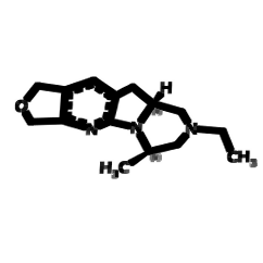 CCN1C[C@H]2Cc3cc4c(nc3N2[C@H](C)C1)COC4